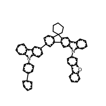 c1ccc(-c2ccc(-n3c4ccccc4c4cc(-c5ccc6c(c5)-c5cc7c(cc5C65CCCCC5)c5ccccc5n7-c5ccc6c(c5)oc5ccccc56)ccc43)cc2)cc1